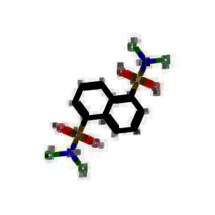 O=S(=O)(c1cccc2c(S(=O)(=O)N(Cl)Cl)cccc12)N(Cl)Cl